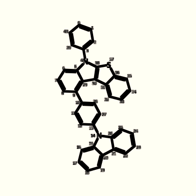 c1ccc(-n2c3cccc(-c4ccc(-n5c6ccccc6c6ccccc65)cc4)c3c3c4ccccc4sc32)cc1